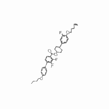 C=CCCCOc1ccc(C2CCC(OC(=O)c3ccc(-c4ccc(OCCCC)cc4)c(F)c3F)CC2)cc1F